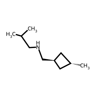 CC(C)CNC[C@H]1C[C@H](C)C1